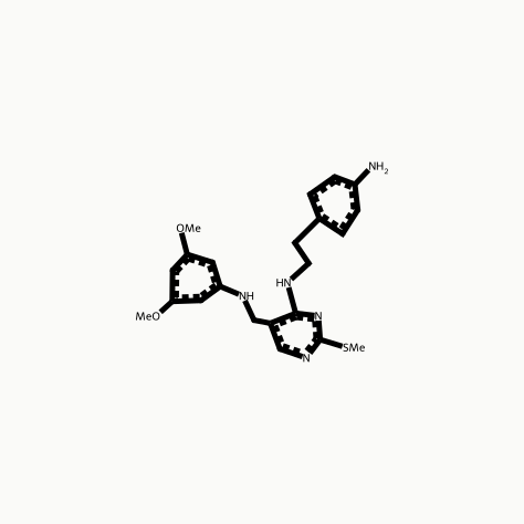 COc1cc(NCc2cnc(SC)nc2NCCc2ccc(N)cc2)cc(OC)c1